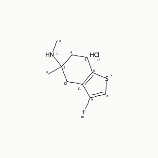 CNC1(C)CCc2scc(F)c2C1.Cl